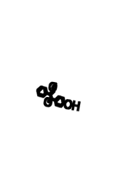 COC=C(C(=O)c1ccc(O)cc1)c1ccccc1